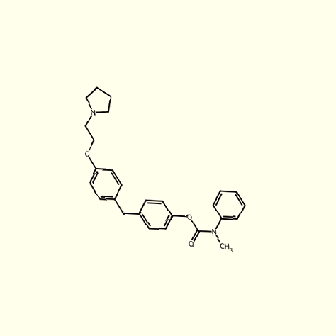 CN(C(=O)Oc1ccc(Cc2ccc(OCCN3CCCC3)cc2)cc1)c1ccccc1